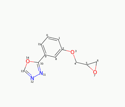 c1cc(OCC2CO2)cc(-c2nnco2)c1